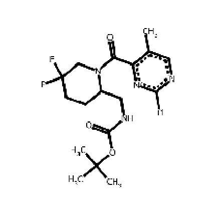 Cc1cnc(Cl)nc1C(=O)N1CC(F)(F)CCC1CNC(=O)OC(C)(C)C